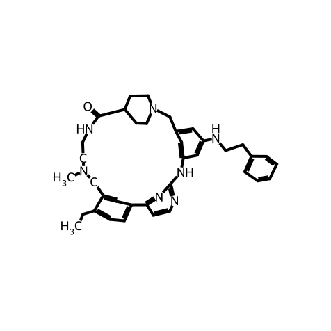 CCc1ccc2cc1CN(C)CCNC(=O)C1CCN(CC1)Cc1cc(NCCc3ccccc3)cc(c1)Nc1nccc-2n1